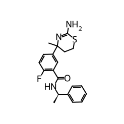 C[C@@H](NC(=O)c1cc(C2(C)CCSC(N)=N2)ccc1F)c1ccccc1